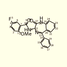 COc1ccc(F)cc1C(=O)NC1N=C(c2ccccc2)c2ccccc2NC1=O